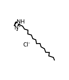 CCCCCCCCCCCCCCCCc1[nH]cc[n+]1C.[Cl-]